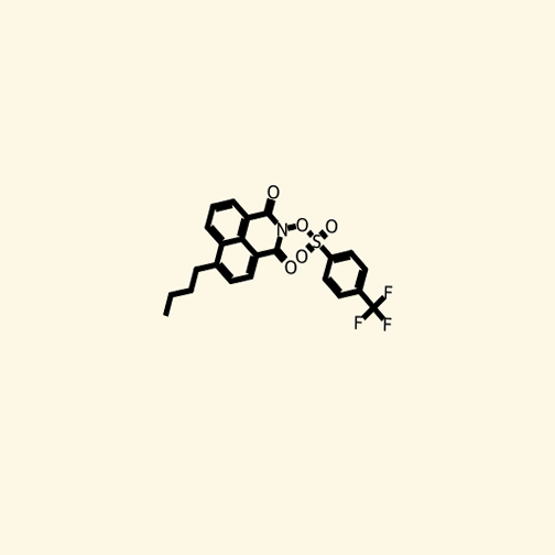 CCCCc1ccc2c3c(cccc13)C(=O)N(OS(=O)(=O)c1ccc(C(F)(F)F)cc1)C2=O